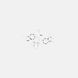 Nc1n[nH]c2ccc([C@H]3[C@@H]4C5CC[C@H](C5)[C@@H]4c4c(ccc5[nH]ncc45)N3C(=O)C3CC3)cc12